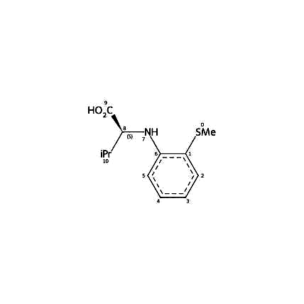 CSc1ccccc1N[C@H](C(=O)O)C(C)C